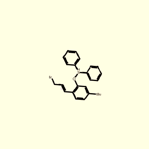 CC(C)(C)c1ccc(/C=C/CBr)c(O[SiH](c2ccccc2)c2ccccc2)c1